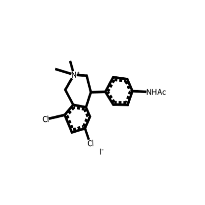 CC(=O)Nc1ccc(C2C[N+](C)(C)Cc3c(Cl)cc(Cl)cc32)cc1.[I-]